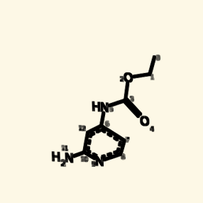 CCOC(=O)Nc1ccnc(N)c1